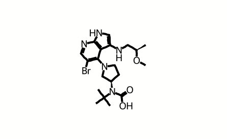 CO[C@H](C)CNc1c[nH]c2ncc(Br)c(N3CC[C@@H](N(C(=O)O)C(C)(C)C)C3)c12